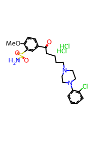 COc1ccc(C(=O)CCCCN2CCN(c3ccccc3Cl)CC2)cc1S(N)(=O)=O.Cl.Cl